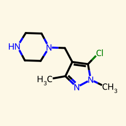 Cc1nn(C)c(Cl)c1CN1CCNCC1